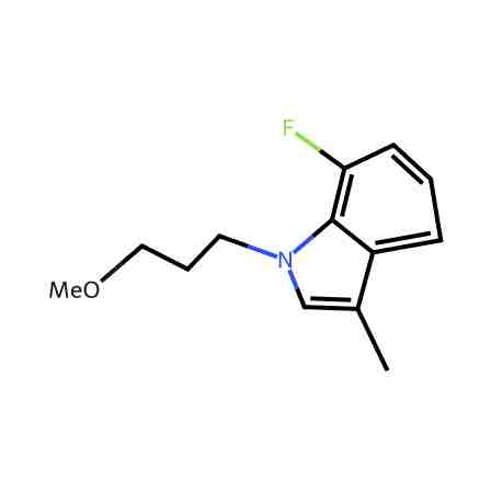 COCCCn1cc(C)c2cccc(F)c21